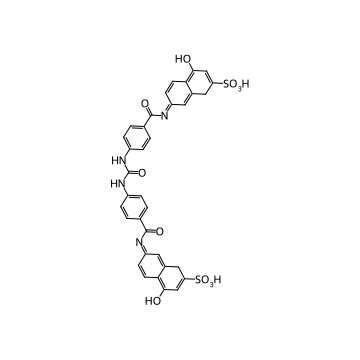 O=C(Nc1ccc(C(=O)N=C2C=CC3=C(O)C=C(S(=O)(=O)O)CC3=C2)cc1)Nc1ccc(C(=O)N=C2C=CC3=C(O)C=C(S(=O)(=O)O)CC3=C2)cc1